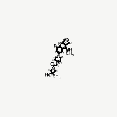 CNc1c2c(nc3c(F)cc(N4CCN(CC(=O)N5CC(C)(O)C5)CC4)cc13)COC2